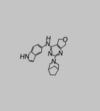 c1cc2cc(Nc3nc(N4CC5CCC(C5)C4)nc4c3COC4)ccc2[nH]1